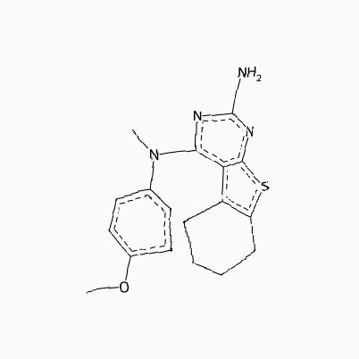 COc1ccc(N(C)c2nc(N)nc3sc4c(c23)CCCC4)cc1